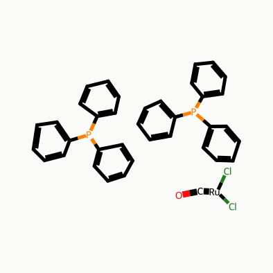 O=[C]=[Ru]([Cl])[Cl].c1ccc(P(c2ccccc2)c2ccccc2)cc1.c1ccc(P(c2ccccc2)c2ccccc2)cc1